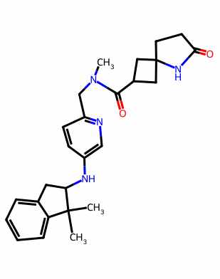 CN(Cc1ccc(NC2Cc3ccccc3C2(C)C)cn1)C(=O)C1CC2(CCC(=O)N2)C1